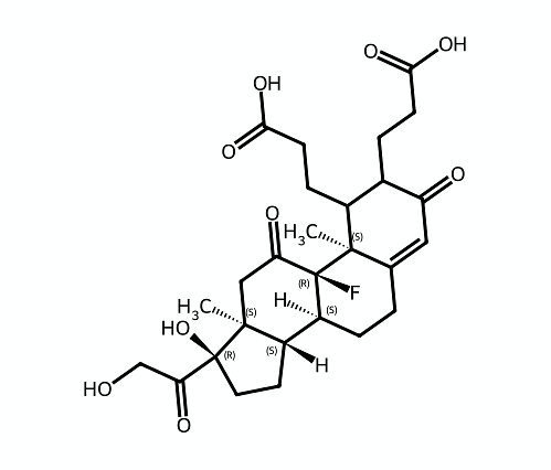 C[C@]12CC(=O)[C@@]3(F)[C@@H](CCC4=CC(=O)C(CCC(=O)O)C(CCC(=O)O)[C@@]43C)[C@@H]1CC[C@]2(O)C(=O)CO